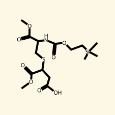 COC(=O)C(CSC(CC(=O)O)C(=O)OC)NC(=O)OCC[Si](C)(C)C